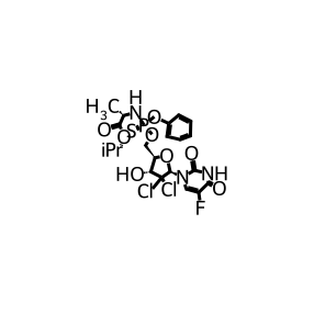 CC(C)OC(=O)[C@H](C)NP(=S)(OC[C@H]1O[C@@H](n2cc(F)c(=O)[nH]c2=O)C(Cl)(Cl)[C@@H]1O)Oc1ccccc1